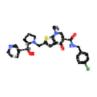 Cn1cc(C(=O)NCc2ccc(Cl)cc2)c(=O)c2cc(CN3CCC[C@@H]3[C@@H](O)c3cccnc3)sc21